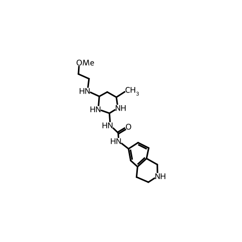 COCCNC1CC(C)NC(NC(=O)Nc2ccc3c(c2)CCNC3)N1